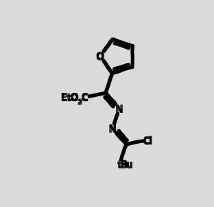 CCOC(=O)C(=NN=C(Cl)C(C)(C)C)c1ccco1